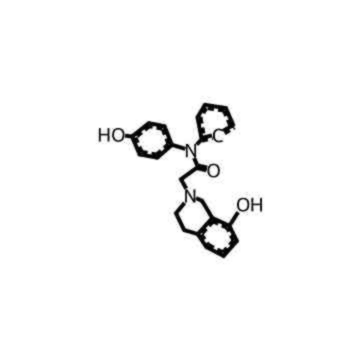 O=C(CN1CCc2cccc(O)c2C1)N(c1ccccc1)c1ccc(O)cc1